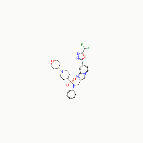 O=S(=O)(C1CCN(C2CCOCC2)CC1)N(Cc1cn2ccc(-c3nnc(C(F)F)o3)cc2n1)c1ccccc1